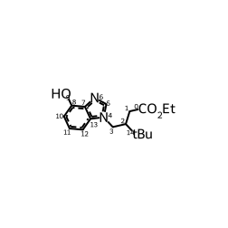 CCOC(=O)CC(Cn1cnc2c(O)cccc21)C(C)(C)C